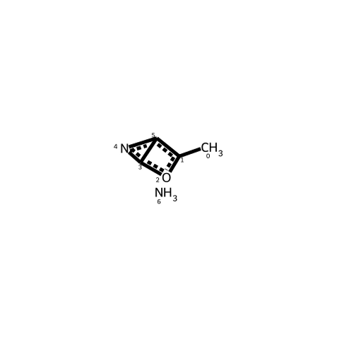 Cc1oc2nc1-2.N